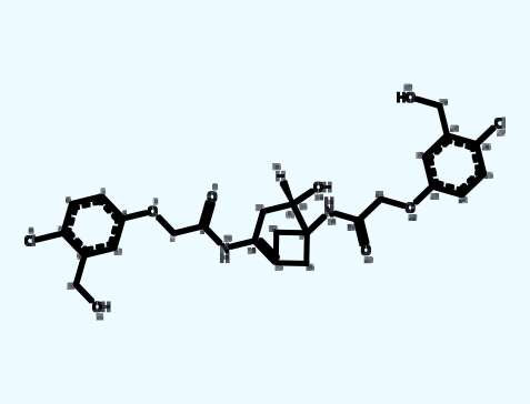 O=C(COc1ccc(Cl)c(CO)c1)NC1=C2CC(NC(=O)COc3ccc(Cl)c(CO)c3)(C2)[C@@H](O)C1